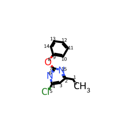 CCc1cc(Cl)nc(Oc2ccccc2)n1